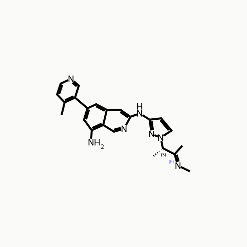 C/N=C(\C)[C@H](C)n1ccc(Nc2cc3cc(-c4cnccc4C)cc(N)c3cn2)n1